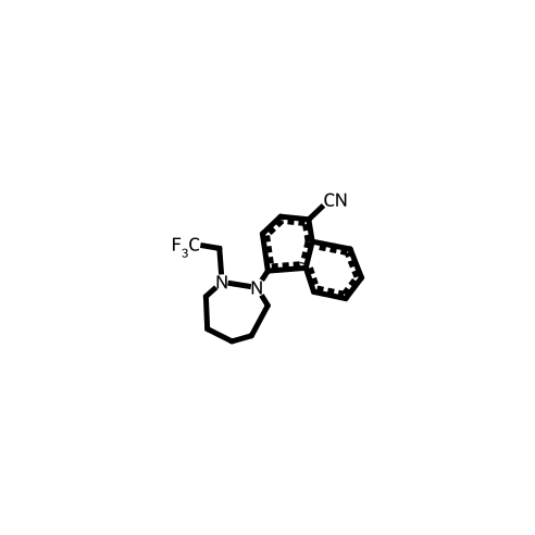 N#Cc1ccc(N2CCCCCN2CC(F)(F)F)c2ccccc12